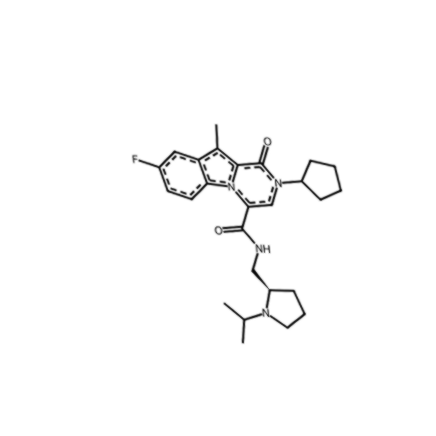 Cc1c2cc(F)ccc2n2c(C(=O)NC[C@H]3CCCN3C(C)C)cn(C3CCCC3)c(=O)c12